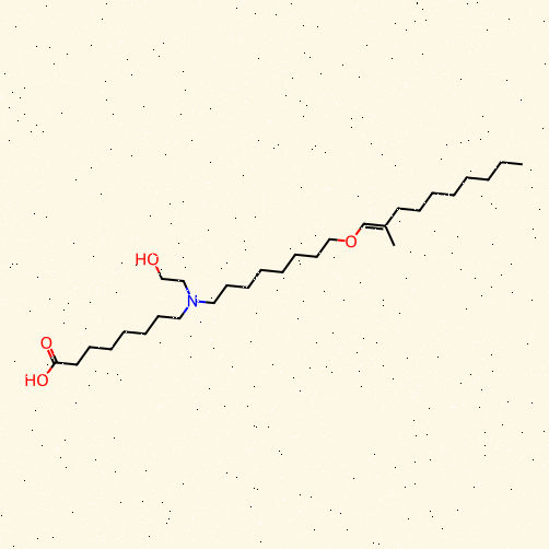 CCCCCCCC/C(C)=C/OCCCCCCCCN(CCO)CCCCCCCC(=O)O